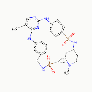 Cc1cnc(Nc2ccc(S(=O)(=O)NC3CCN(C)CC3)cc2)nc1Nc1cccc(CNS(=O)(=O)C2CC2)c1